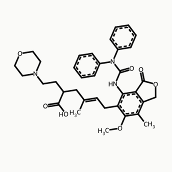 COc1c(C)c2c(c(NC(=O)N(c3ccccc3)c3ccccc3)c1C/C=C(\C)CC(CCN1CCOCC1)C(=O)O)C(=O)OC2